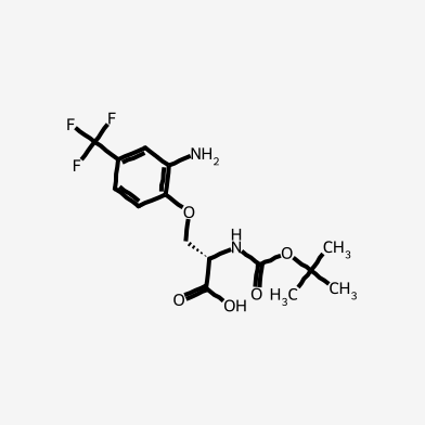 CC(C)(C)OC(=O)N[C@@H](COc1ccc(C(F)(F)F)cc1N)C(=O)O